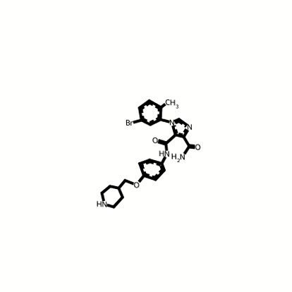 Cc1ccc(Br)cc1-n1cnc(C(N)=O)c1C(=O)Nc1ccc(OCC2CCNCC2)cc1